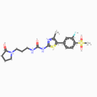 Cc1nc(NC(=O)NCCCN2CCCC2=O)sc1-c1ccc(S(C)(=O)=O)c(F)c1